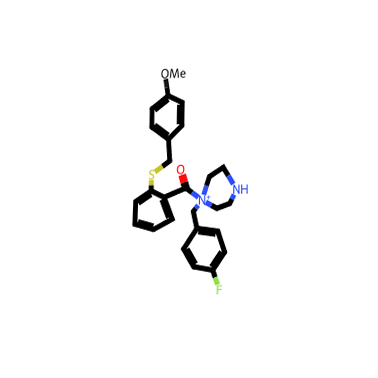 COc1ccc(CSc2ccccc2C(=O)[N+]2(Cc3ccc(F)cc3)CCNCC2)cc1